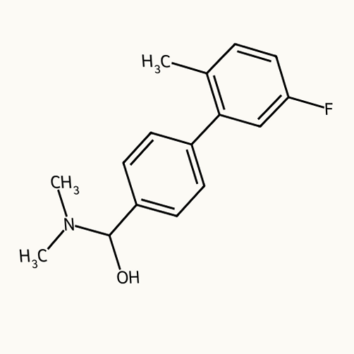 Cc1ccc(F)cc1-c1ccc(C(O)N(C)C)cc1